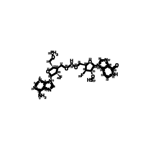 Nc1ncnc2c1ncn2[C@@H]1O[C@H](COP)[C@@H](COPOC[C@H]2O[C@@H](n3cnc4c(=O)[nH]ccc43)[C@H](OS)[C@H]2F)[C@@H]1F